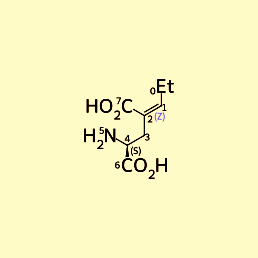 CC/C=C(/C[C@H](N)C(=O)O)C(=O)O